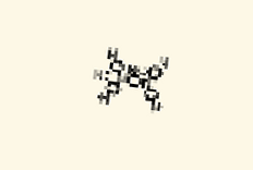 CN(C)c1ccc([N+](=C2C=CC(=[N+](c3ccc(N(C)C)cc3)c3ccc(N(C)C)cc3C#N)C=C2)c2ccc(N(C)C)cc2C#N)cc1